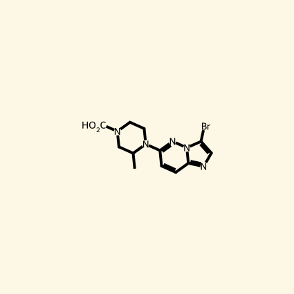 CC1CN(C(=O)O)CCN1c1ccc2ncc(Br)n2n1